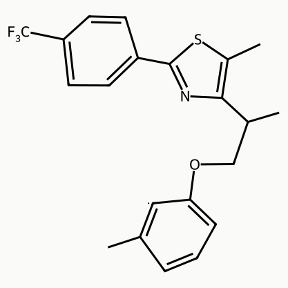 Cc1[c]c(OCC(C)c2nc(-c3ccc(C(F)(F)F)cc3)sc2C)ccc1